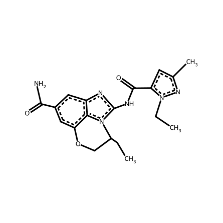 CCC1COc2cc(C(N)=O)cc3nc(NC(=O)c4cc(C)nn4CC)n1c23